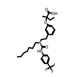 CCCCCCCN(CCc1cccc(OC(C)(CC)C(=O)O)c1)C(=O)Nc1ccc(C(F)(F)F)cc1